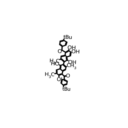 Cc1cc2c(O)c(-c3c(C)cc4c(C(=O)c5ccc(C(C)(C)C)cc5)c(O)c(O)cc4c3O)c(C)cc2c(C(=O)c2ccc(C(C)(C)C)cc2)c1O